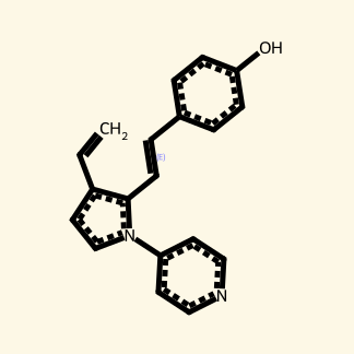 C=Cc1ccn(-c2ccncc2)c1/C=C/c1ccc(O)cc1